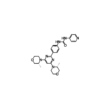 C[C@@H]1COCCN1c1cc(N2CCOC[C@H]2C)nc(-c2ccc(NC(=O)Nc3ccncc3)cc2)n1